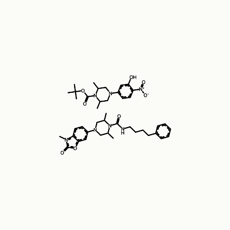 CC1CN(c2ccc([N+](=O)[O-])c(O)c2)CC(C)N1C(=O)OC(C)(C)C.CC1CN(c2ccc3c(c2)oc(=O)n3C)CC(C)N1C(=O)NCCCCc1ccccc1